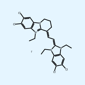 CCN1C(=CC=C2CCCn3c2[n+](CC)c2cc(Cl)c(Cl)cc23)N(CC)c2cc(Cl)c(Cl)cc21.[I-]